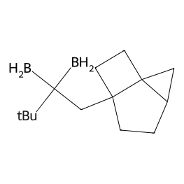 BC(B)(CC12CCC3CC31CC2)C(C)(C)C